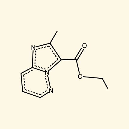 CCOC(=O)c1c(C)nc2cccnn12